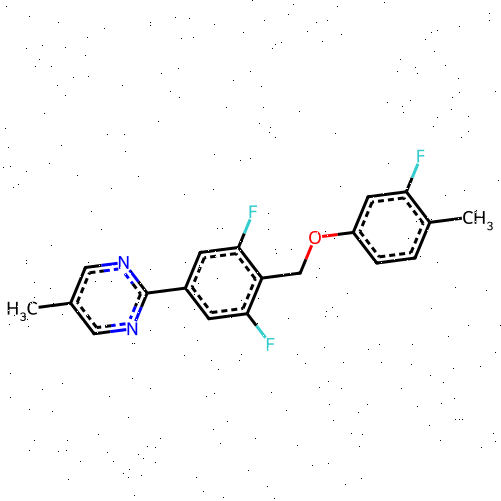 Cc1cnc(-c2cc(F)c(COc3ccc(C)c(F)c3)c(F)c2)nc1